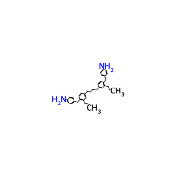 CCCc1cc(CCCCc2ccc(Cc3ccc(N)cc3)c(CCC)c2)ccc1Cc1ccc(N)cc1